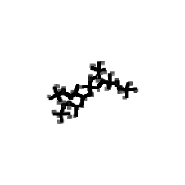 CC(CC(CC(C)(CCC(C)(C)OOC(C)(C)C)OOC(C)(C)C)C(C)OOC(C)(C)C)OOC(C)(C)C